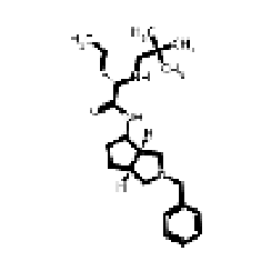 CCC[C@H](NCC(C)(C)C)C(=O)N[C@@H]1CC[C@H]2CN(Cc3ccccc3)C[C@H]21